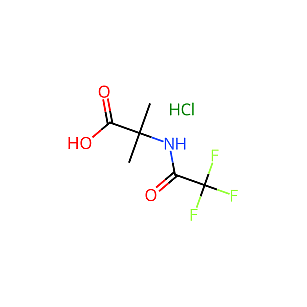 CC(C)(NC(=O)C(F)(F)F)C(=O)O.Cl